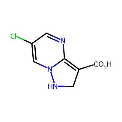 O=C(O)C1=C2N=CC(Cl)=CN2NC1